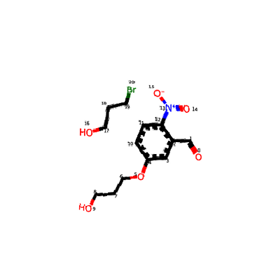 O=Cc1cc(OCCCO)ccc1[N+](=O)[O-].OCCCBr